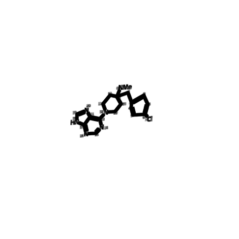 CNC1(Cc2ccc(Cl)cc2)CCN(c2ncnc3[nH]cnc23)CC1